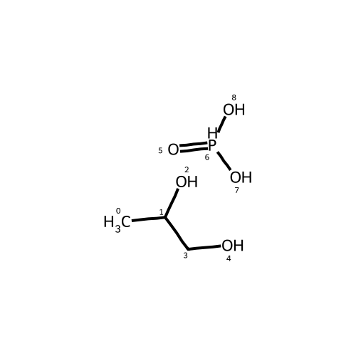 CC(O)CO.O=[PH](O)O